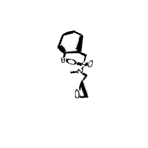 CN(C[C@H]1CO1)S(=O)(=O)Cc1ccccc1Br